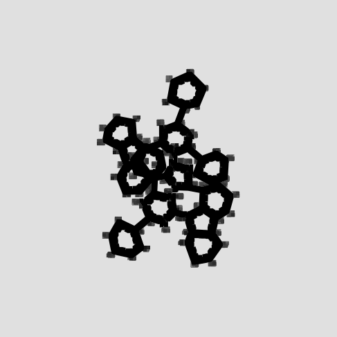 c1ccc(-c2nc(-c3ccccc3)nc(-n3c4ccccc4c4cccc(-c5nnc(-c6cccc7c8ccccc8n(-c8nc(-c9ccccc9)nc(-c9ccccc9)n8)c67)s5)c43)n2)cc1